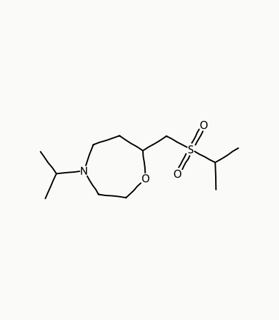 CC(C)N1CCOC(CS(=O)(=O)C(C)C)CC1